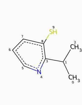 CC(C)c1ncccc1S